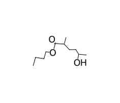 CCCCOC(=O)C(C)CCC(C)O